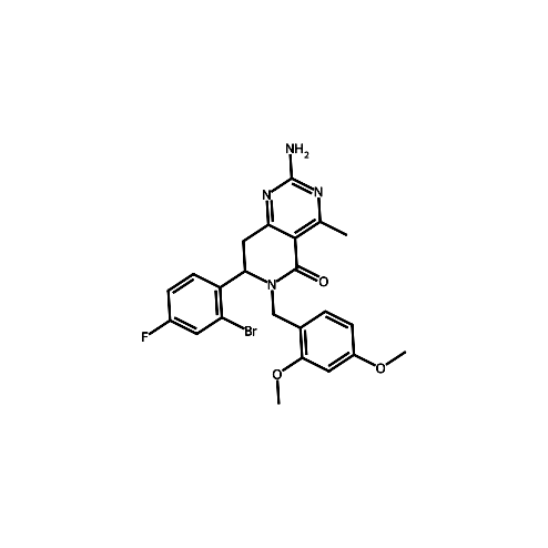 COc1ccc(CN2C(=O)c3c(C)nc(N)nc3CC2c2ccc(F)cc2Br)c(OC)c1